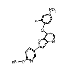 CCCCOc1ccc(-c2cc3nccc(Oc4ccc([N+](=O)[O-])cc4F)c3s2)cn1